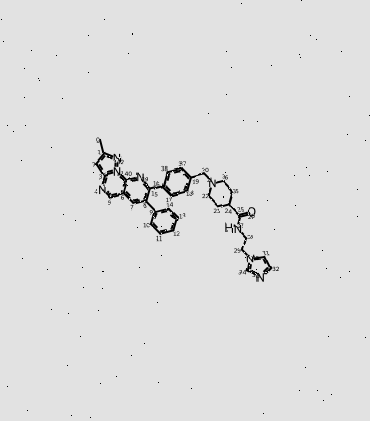 Cc1cc2ncc3cc(-c4ccccc4)c(-c4ccc(CN5CCC(C(=O)NCCn6ccnc6)CC5)cc4)nc3n2n1